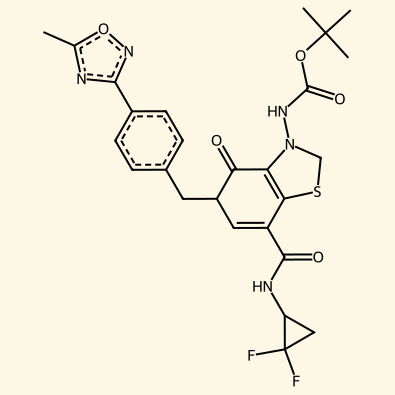 Cc1nc(-c2ccc(CC3C=C(C(=O)NC4CC4(F)F)C4=C(C3=O)N(NC(=O)OC(C)(C)C)CS4)cc2)no1